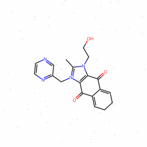 Cc1n(CCO)c2c([n+]1Cc1cnccn1)C(=O)C1=CCCC=C1C2=O